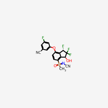 CS(=O)(=NC#N)c1ccc(Oc2cc(F)cc(C#N)c2)c2c1[C@H](O)C(F)(F)[C@H]2F